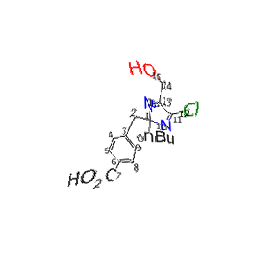 CCCCC1(Cc2ccc(C(=O)O)cc2)N=C(Cl)C(CO)=N1